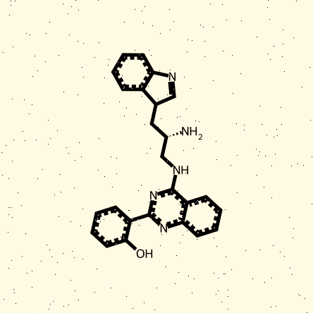 N[C@H](CNc1nc(-c2ccccc2O)nc2ccccc12)CC1C=Nc2ccccc21